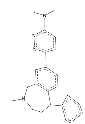 CN1CCC(c2ccccc2)c2ccc(-c3ccc(N(C)C)nn3)cc2C1